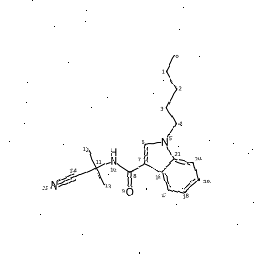 CCCCCn1cc(C(=O)NC(C)(C)C#N)c2ccccc21